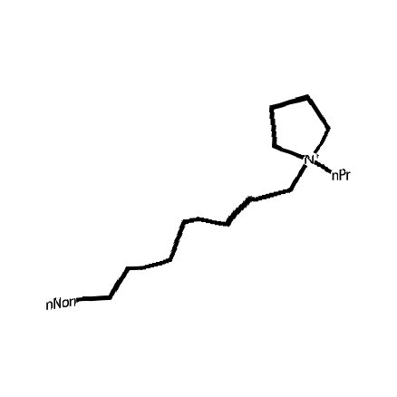 CCCCCCCCCCCCCCCC[N+]1(CCC)CCCC1